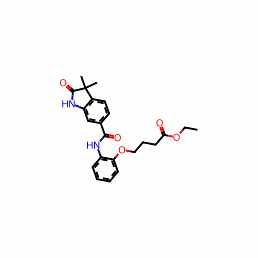 CCOC(=O)CCCOc1ccccc1NC(=O)c1ccc2c(c1)NC(=O)C2(C)C